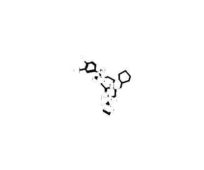 O=C(Nc1nccs1)[C@H](CC1CCCCC1)N1CCN(S(=O)(=O)c2ccc(F)c(Cl)c2)CC1=O